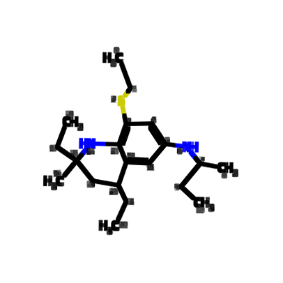 CCSc1cc(NC(C)CC)cc2c1NC(C)(CC)CC2CC